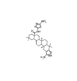 CC1(C)CC[C@]2(C(=O)Nc3nnc(N)s3)CC[C@]3(C)C(=CCC4[C@@]5(C)Cc6c(n[nH]c6N)C(C)(C)C5CC[C@]43C)C2C1